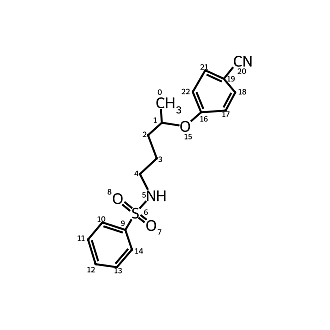 CC(CCCNS(=O)(=O)c1ccccc1)Oc1ccc(C#N)cc1